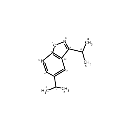 CC(C)c1cnc2onc(C(C)C)c2c1